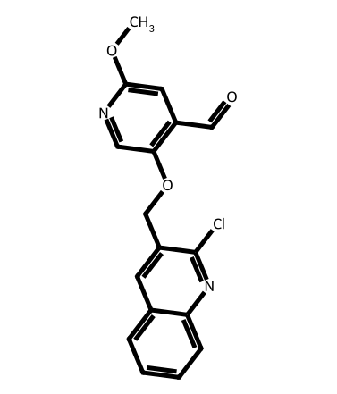 COc1cc(C=O)c(OCc2cc3ccccc3nc2Cl)cn1